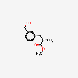 COC(=O)C(C)Cc1cccc(CO)c1